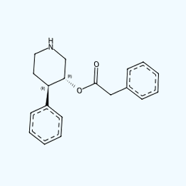 O=C(Cc1ccccc1)O[C@H]1CNCC[C@@H]1c1ccccc1